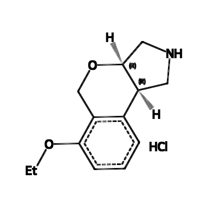 CCOc1cccc2c1CO[C@H]1CNC[C@@H]21.Cl